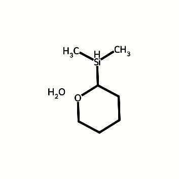 C[SiH](C)C1CCCCO1.O